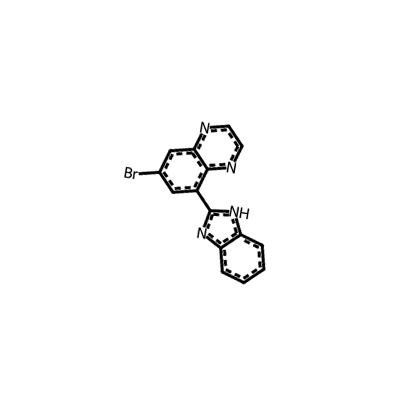 Brc1cc(-c2nc3ccccc3[nH]2)c2nccnc2c1